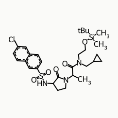 CC(C(=O)N(CCO[Si](C)(C)C(C)(C)C)CC1CC1)N1CCC(NS(=O)(=O)c2ccc3cc(Cl)ccc3c2)C1=O